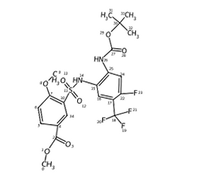 COC(=O)c1ccc(OC)c(S(=O)(=O)Nc2cc(C(F)(F)F)c(F)cc2NC(=O)OC(C)(C)C)c1